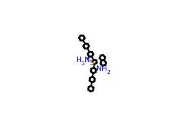 Nc1cc(-c2ccc(-c3ccccc3)cc2)ccc1-c1ccc(-c2ccc(-c3ccc(-c4ccccc4)cc3)cc2N)s1.c1ccc2ccccc2c1